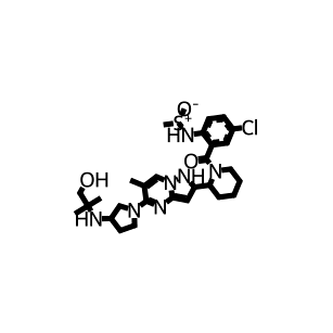 CC1=CN2NC(C3CCCCN3C(=O)c3cc(Cl)ccc3N[S+](C)[O-])C=C2N=C1N1CCC(NC(C)(C)CO)C1